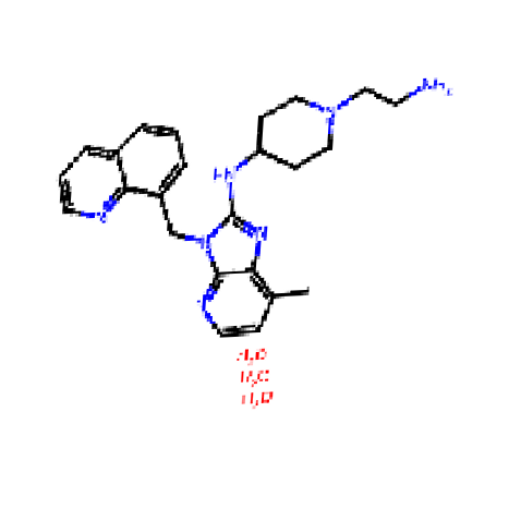 Cc1ccnc2c1nc(NC1CCN(CCN)CC1)n2Cc1cccc2cccnc12.O.O.O